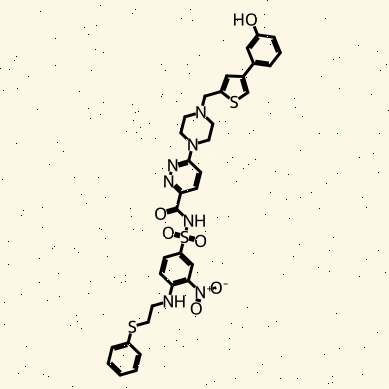 O=C(NS(=O)(=O)c1ccc(NCCSc2ccccc2)c([N+](=O)[O-])c1)c1ccc(N2CCN(Cc3cc(-c4cccc(O)c4)cs3)CC2)nn1